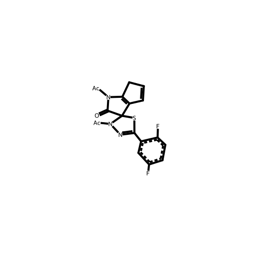 CC(=O)N1C(=O)C2(SC(c3cc(F)ccc3F)=NN2C(C)=O)C2=C1CC=C2